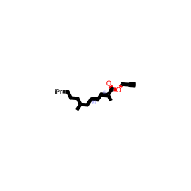 C#CCOC(=O)/C(C)=C/C=C/CC(C)CCCC(C)C